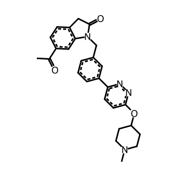 CC(=O)c1ccc2c(c1)N(Cc1cccc(-c3ccc(OC4CCN(C)CC4)nn3)c1)C(=O)C2